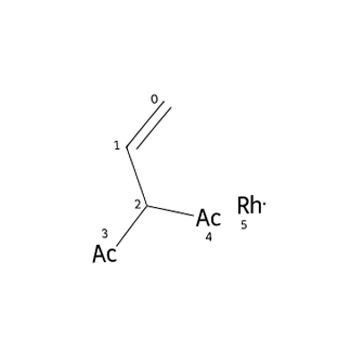 C=CC(C(C)=O)C(C)=O.[Rh]